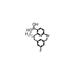 C[C@@H](Cc1cc(F)cc(F)c1)c1nc(Br)ccc1B(O)O